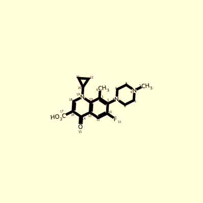 Cc1c(N2CCN(C)CC2)c(F)cc2c(=O)c(C(=O)O)cn(C3CC3)c12